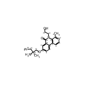 Cc1nccc2c3ccc(OC[C@@](C)(N)CC(C)C)cc3c(=O)n(CCO)c12